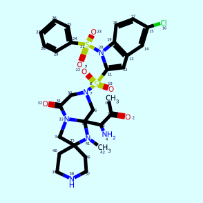 CC(=O)C(N)C12CN(S(=O)(=O)c3cc4cc(Cl)ccc4n3S(=O)(=O)c3ccccc3)CC(=O)N1CC1(CCNCC1)N2C